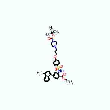 CCOC(=O)c1ccc(-c2ccc(C)c3ccccc23)cc1NS(=O)(=O)c1ccc(OCCCN2CCN(C(=O)OC(C)(C)C)CC2)cc1